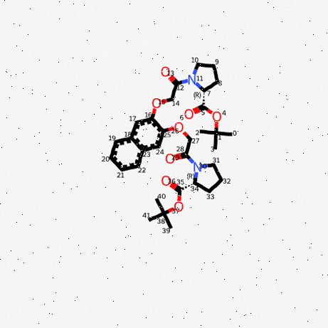 CC(C)(C)OC(=O)[C@H]1CCCN1C(=O)COc1cc2ccccc2cc1OCC(=O)N1CCC[C@@H]1C(=O)OC(C)(C)C